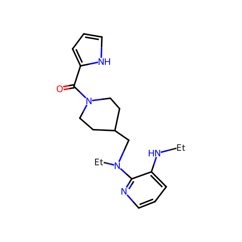 CCNc1cccnc1N(CC)CC1CCN(C(=O)c2ccc[nH]2)CC1